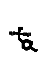 C[C@](O)(Cc1ccc(Br)cc1)C(=O)O